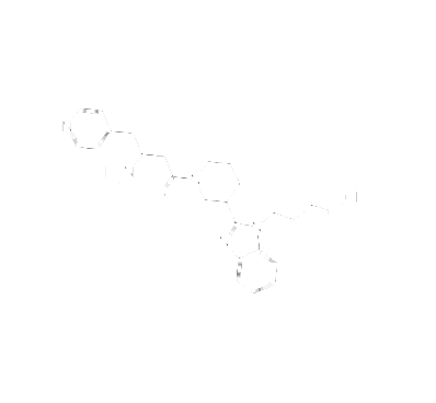 COCCCn1c(C2CCCN(C(=O)CC(N)Cc3ccncc3)C2)nc2ccccc21